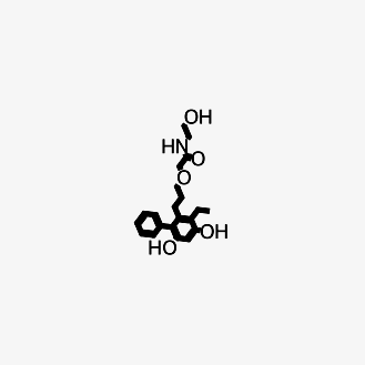 CCc1c(O)cc(O)c(-c2ccccc2)c1CCCOCC(=O)NCCO